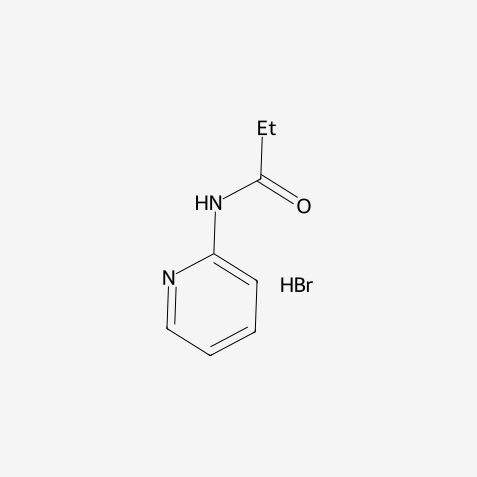 Br.CCC(=O)Nc1ccccn1